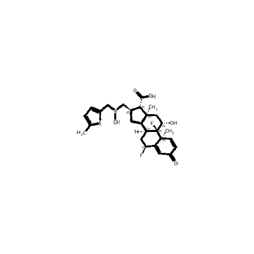 Cc1ccc(CN(O)C[C@@H]2CC3[C@@H]4C[C@H](F)C5=CC(=O)C=C[C@]5(C)[C@@]4(F)[C@@H](O)C[C@]3(C)[C@H]2C(=O)O)s1